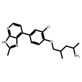 Cc1nc2c(-c3ccc(OCC(C)CC(C)N)c(Cl)c3)ccnc2[nH]1